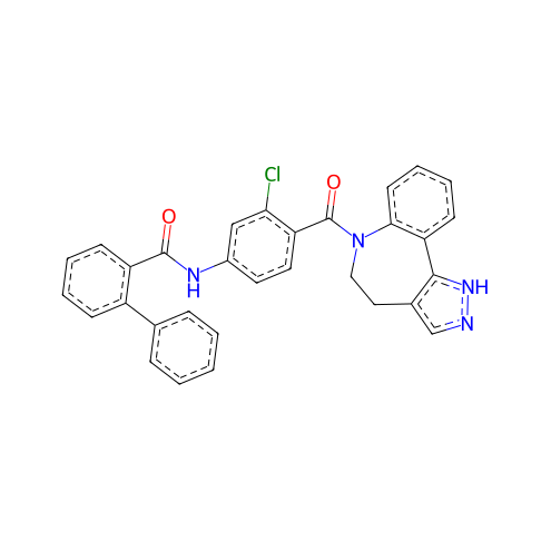 O=C(Nc1ccc(C(=O)N2CCc3cn[nH]c3-c3ccccc32)c(Cl)c1)c1ccccc1-c1ccccc1